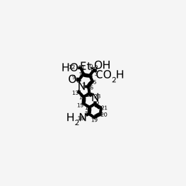 CC[C@@](O)(C(=O)O)c1cc2n(c(=O)c1CO)Cc1cc3c(N)cccc3nc1-2